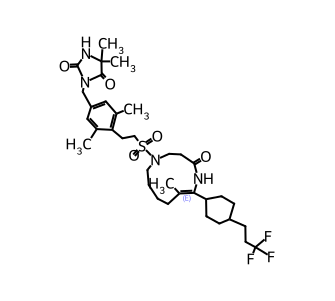 C/C1=C(/C2CCC(CCC(F)(F)F)CC2)NC(=O)CCN(S(=O)(=O)CCc2c(C)cc(CN3C(=O)NC(C)(C)C3=O)cc2C)CCCC1